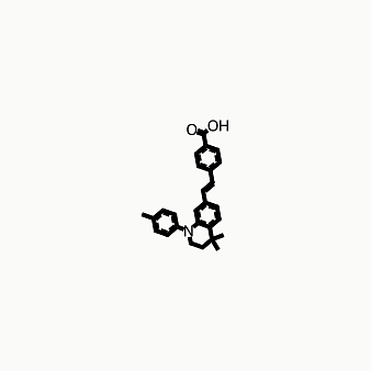 Cc1ccc(N2CCC(C)(C)c3ccc(C=Cc4ccc(C(=O)O)cc4)cc32)cc1